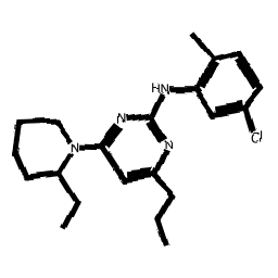 CCCc1cc(N2CCCCC2CC)nc(Nc2cc(Cl)ccc2C)n1